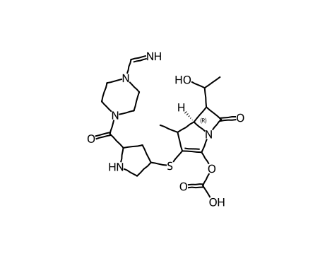 CC(O)C1C(=O)N2C(OC(=O)O)=C(SC3CNC(C(=O)N4CCN(C=N)CC4)C3)C(C)[C@@H]12